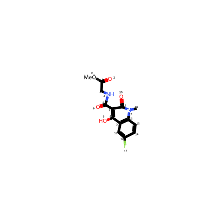 COC(=O)CNC(=O)c1c(O)c2cc(F)ccc2n(C)c1=O